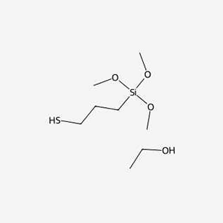 CCO.CO[Si](CCCS)(OC)OC